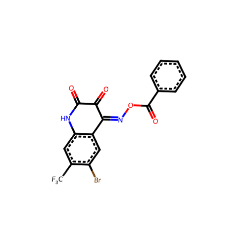 O=C1Nc2cc(C(F)(F)F)c(Br)cc2C(=NOC(=O)c2ccccc2)C1=O